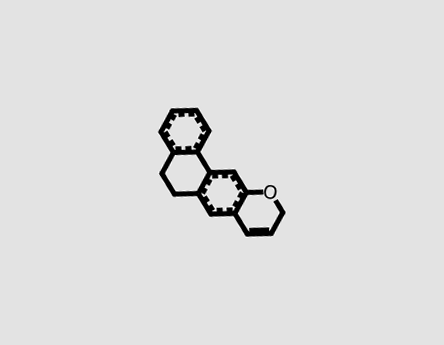 C1=Cc2cc3c(cc2OC1)-c1ccccc1CC3